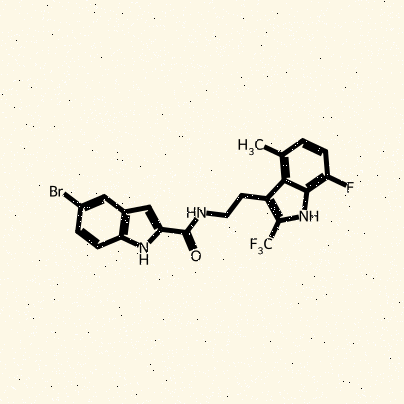 Cc1ccc(F)c2[nH]c(C(F)(F)F)c(CCNC(=O)c3cc4cc(Br)ccc4[nH]3)c12